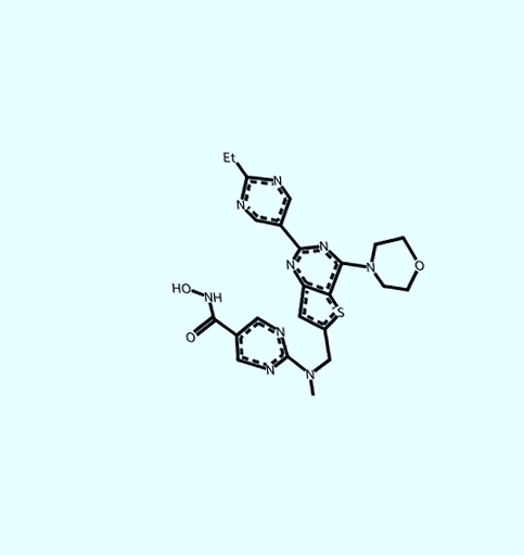 CCc1ncc(-c2nc(N3CCOCC3)c3sc(CN(C)c4ncc(C(=O)NO)cn4)cc3n2)cn1